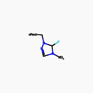 CCCCCCN1N=CN([N+](=O)[O-])C1F